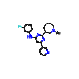 CC(=O)N1CCCCC(c2nc(Nc3cccc(F)c3)cc(-c3cccnc3)n2)C1